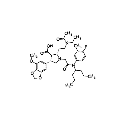 CCCC(CCC)N(C(=O)CN1C[C@H](c2cc(OC)c3c(c2)OCO3)[C@@H](C(=O)O)[C@@H]1CCN(CC)C(C)=O)c1ccc(F)c(C)c1